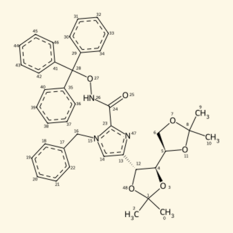 CC1(C)O[C@H]([C@H]2COC(C)(C)O2)[C@@H](c2cn(Cc3ccccc3)c(C(=O)NOC(c3ccccc3)(c3ccccc3)c3ccccc3)n2)O1